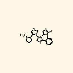 CN1CCCC1c1cnnn1N1CN=C2c3ccccc3-n3c(cnc3F)N21